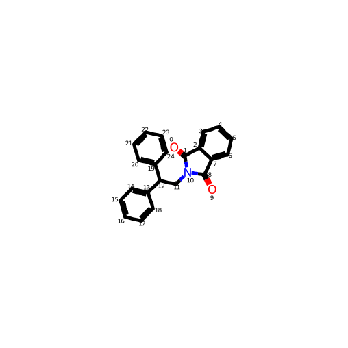 O=C1c2ccccc2C(=O)N1[CH]C(c1ccccc1)c1ccccc1